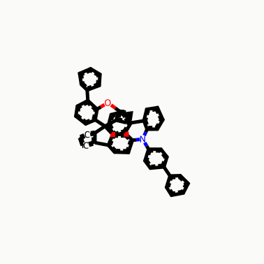 c1ccc(-c2ccc(N(c3ccc4c(c3)C3(c5ccccc5Oc5c(-c6ccccc6)cccc53)c3ccccc3-4)c3ccccc3-c3ccccc3)cc2)cc1